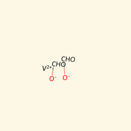 O=C[O-].O=C[O-].[V+2]